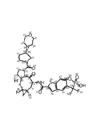 O=C(N[C@H]1C[C@@H]2C[C@@H]2C[C@H]2CC[C@@H](C(=O)N3CC[C@@H](N4CCOCC4)C3)N2C1=O)c1cc2cc(C(F)(F)P(=O)(O)O)ccc2s1